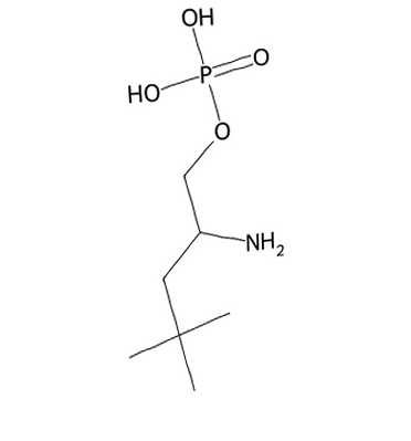 CC(C)(C)CC(N)COP(=O)(O)O